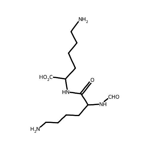 NCCCCC(NC(=O)C(CCCCN)NC=O)C(=O)O